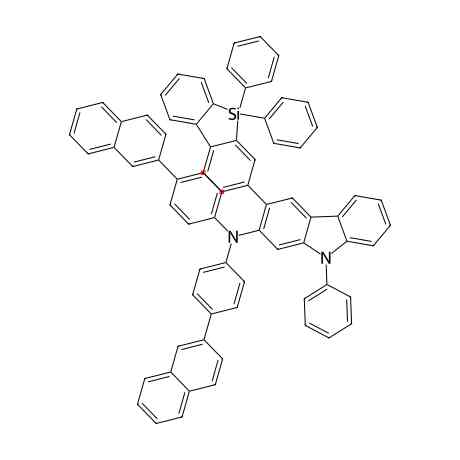 c1ccc(-n2c3ccccc3c3cc(-c4ccc5c(c4)[Si](c4ccccc4)(c4ccccc4)c4ccccc4-5)c(N(c4ccc(-c5ccc6ccccc6c5)cc4)c4ccc(-c5ccc6ccccc6c5)cc4)cc32)cc1